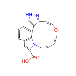 O=C(O)c1cc2cccc3c4c[nH]nc4ccoccccn1c23